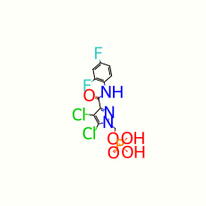 O=C(Nc1ccc(F)cc1F)c1nn(COP(=O)(O)O)c(Cl)c1Cl